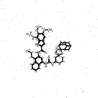 COc1cc2cc(C(=O)Nc3cc(NC(=O)OC4CCC[C@]5(C4)OOC4(O5)C5CC6CC(C5)CC4C6)c4ccccc4c3CCCl)[nH]c2c(OC)c1OC